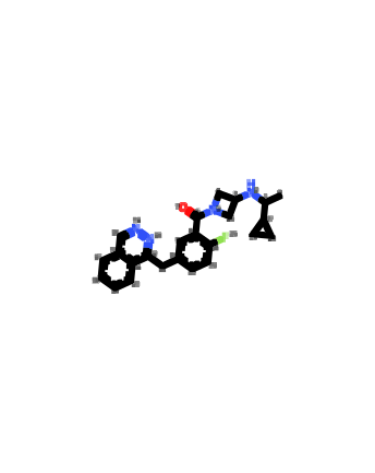 CC(NC1CN(C(=O)c2cc(Cc3nncc4ccccc34)ccc2F)C1)C1CC1